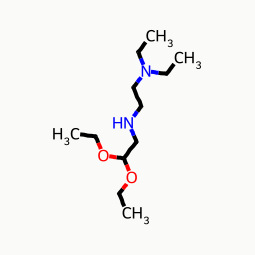 CCOC(CNCCN(CC)CC)OCC